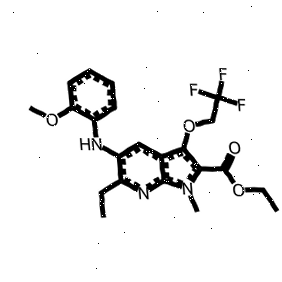 CCOC(=O)c1c(OCC(F)(F)F)c2cc(Nc3ccccc3OC)c(CC)nc2n1C